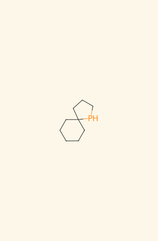 C1CCC2(CC1)CCCP2